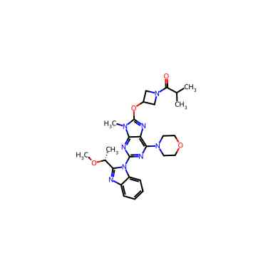 CO[C@H](C)c1nc2ccccc2n1-c1nc(N2CCOCC2)c2nc(OC3CN(C(=O)C(C)C)C3)n(C)c2n1